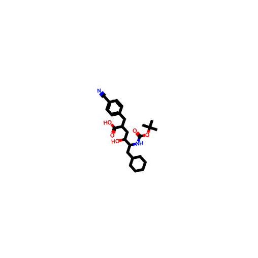 CC(C)(C)OC(=O)NC(CC1CCCCC1)C(O)CC(Cc1ccc(C#N)cc1)C(=O)O